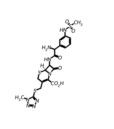 Cn1nnnc1SCC1=C(C(=O)O)N2C(=O)C(NC(=O)C(N)c3cccc(NS(C)(=O)=O)c3)[C@@H]2SC1